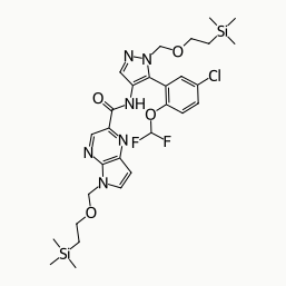 C[Si](C)(C)CCOCn1ncc(NC(=O)c2cnc3c(ccn3COCC[Si](C)(C)C)n2)c1-c1cc(Cl)ccc1OC(F)F